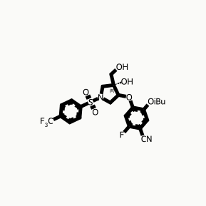 CC(C)COc1cc(C#N)c(F)cc1OC1CN(S(=O)(=O)c2ccc(C(F)(F)F)cc2)C[C@@]1(O)CO